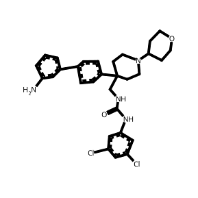 Nc1cccc(-c2ccc(C3(CNC(=O)Nc4cc(Cl)cc(Cl)c4)CCN(C4CCOCC4)CC3)cc2)c1